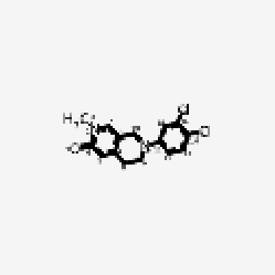 Cn1cc2c(cc1=O)CCN(c1ccc(Cl)c(Cl)c1)C2